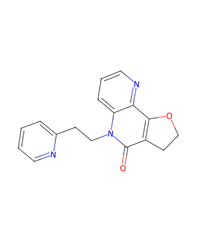 O=c1c2c(c3ncccc3n1CCc1ccccn1)OCC2